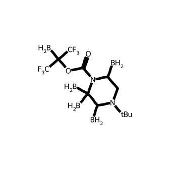 BC1CN(C(C)(C)C)C(B)C(B)(B)N1C(=O)OC(B)(C(F)(F)F)C(F)(F)F